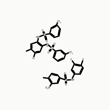 Cc1cc(NS(=O)(=O)c2cccc(C(F)(F)F)c2)c(NS(=O)(=O)c2cccc(C(F)(F)F)c2)cc1Cl.Cc1ccc(S(=O)(=O)Nc2ccc(F)c(F)c2)cc1[N+](=O)[O-]